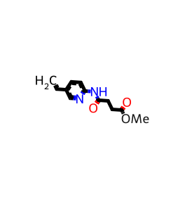 C=Cc1ccc(NC(=O)CCC(=O)OC)nc1